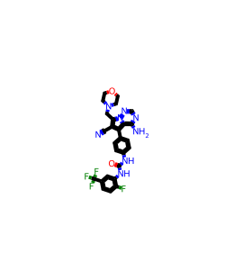 N#Cc1c(-c2ccc(NC(=O)Nc3cc(C(F)(F)F)ccc3F)cc2)c2c(N)ncnn2c1CN1CCOCC1